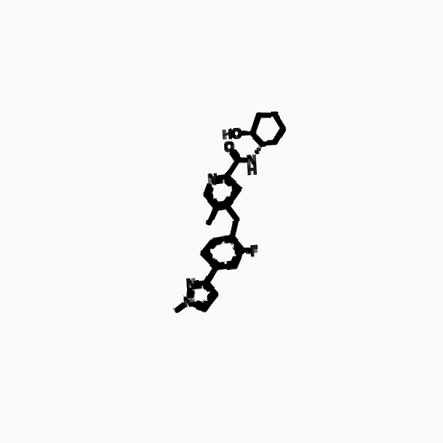 Cc1cnc(C(=O)N[C@H]2CCCC[C@@H]2O)cc1Cc1ccc(-c2ccn(C)n2)cc1F